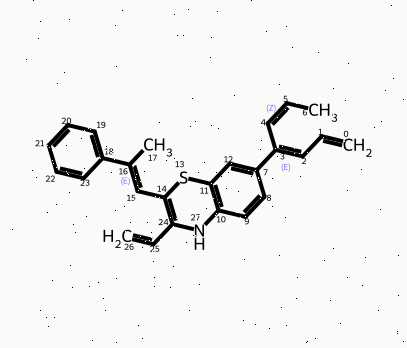 C=C/C=C(\C=C/C)c1ccc2c(c1)SC(/C=C(\C)c1ccccc1)=C(C=C)N2